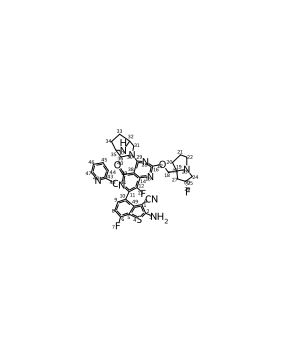 N#Cc1c(N)sc2c(F)ccc(-c3c(F)c4nc(OC[C@@]56CCCN5C[C@H](F)C6)nc(N5CC6CCC(C5)N6)c4c(=O)n3Cc3ccccn3)c12